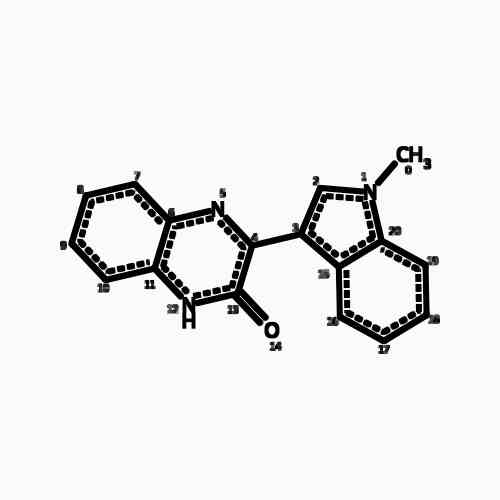 Cn1cc(-c2nc3ccccc3[nH]c2=O)c2ccccc21